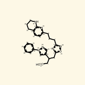 O=C(O)CC(Cc1nc(CCCc2ccc3c(n2)NCCC3)no1)c1cnn(-c2ccccc2)c1